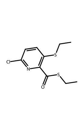 CCSC(=O)c1nc(Cl)ccc1SCC